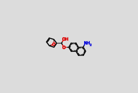 Nc1cccc2cc(OC(O)C3CC4C=CC3O4)ccc12